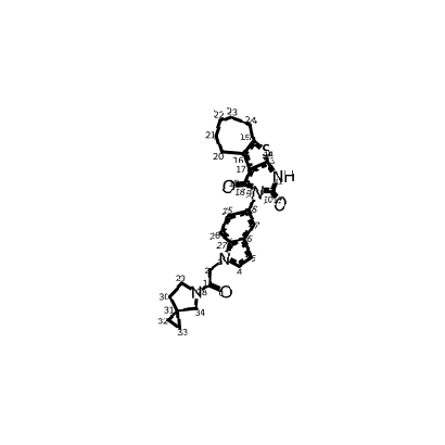 O=C(Cn1ccc2cc(-n3c(=O)[nH]c4sc5c(c4c3=O)CCCCC5)ccc21)N1CCC2(CC2)C1